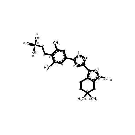 Cc1cc(-c2noc(-c3nn(C)c4c3CCC(C)(C)C4)n2)cc(C)c1CCP(=O)(O)O